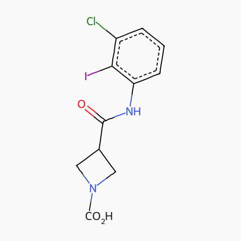 O=C(Nc1cccc(Cl)c1I)C1CN(C(=O)O)C1